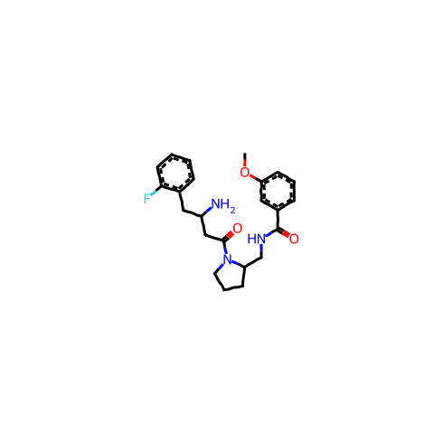 COc1cccc(C(=O)NCC2CCCN2C(=O)CC(N)Cc2ccccc2F)c1